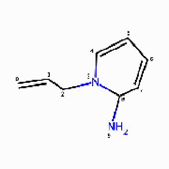 C=CCN1C=CC=CC1N